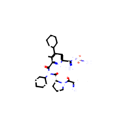 [CH2]c1c(C2CCCCC2)cc(C(=N)NS(N)(=O)=O)nc1C(=O)N(C(=O)[C@@H]1CCCN1C(=O)[C@H](C)N)C1CCCCC1